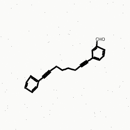 O=Cc1cccc(C#CCCCCC#Cc2ccccc2)c1